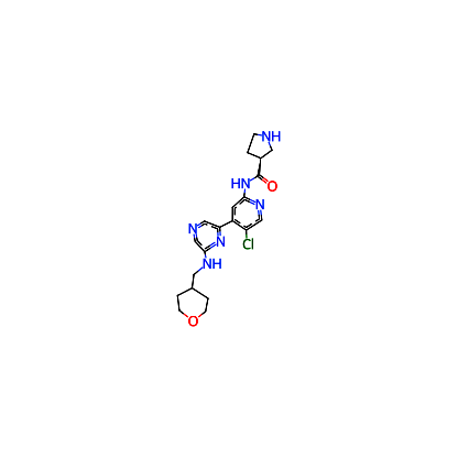 O=C(Nc1cc(-c2cncc(NCC3CCOCC3)n2)c(Cl)cn1)[C@H]1CCNC1